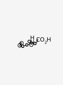 CS(=O)(=O)c1cccc(-c2ccc(CC3(C(=O)Nc4cccc(/C=C/C(=O)O)c4)CCCCC3)cc2)c1